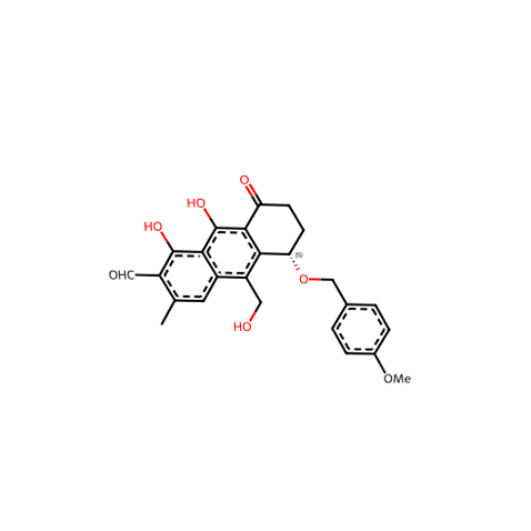 COc1ccc(CO[C@H]2CCC(=O)c3c2c(CO)c2cc(C)c(C=O)c(O)c2c3O)cc1